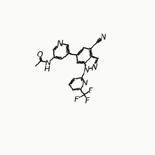 CC(=O)Nc1cncc(-c2cc(C#N)c3cnn(-c4cccc(C(F)(F)F)n4)c3c2)c1